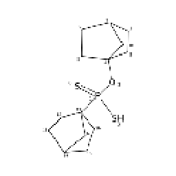 S=P(S)(OC12CCC(CC1)C2)C12CCC(CC1)C2